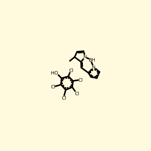 CC1C=CN2Bn3cccc3C=C12.Oc1c(Cl)c(Cl)c(Cl)c(Cl)c1Cl